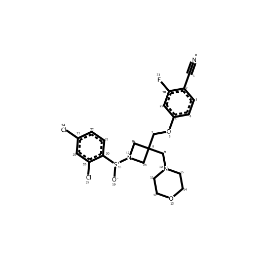 N#Cc1ccc(OCC2(CN3CCOCC3)CN([S+]([O-])c3ccc(Cl)cc3Cl)C2)cc1F